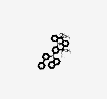 CC1(C)c2ccccc2N2c3ccc(N(c4cccc(-c5ccccc5)c4)c4cccc5ccccc45)cc3C(C)(C)c3cccc1c32